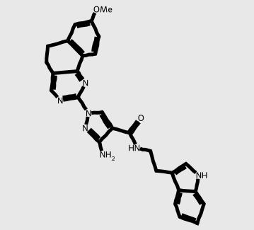 COc1ccc2c(c1)CCc1cnc(-n3cc(C(=O)NCCc4c[nH]c5ccccc45)c(N)n3)nc1-2